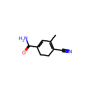 CC1=C(C#N)CCC(C(N)=O)=C1